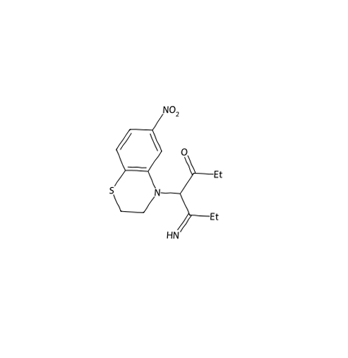 CCC(=N)C(C(=O)CC)N1CCSc2ccc([N+](=O)[O-])cc21